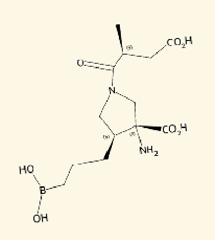 C[C@@H](CC(=O)O)C(=O)N1C[C@H](CCCB(O)O)[C@](N)(C(=O)O)C1